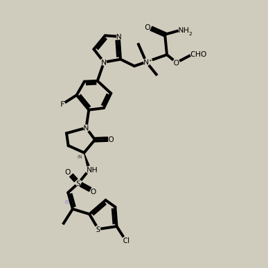 C/C(=C/S(=O)(=O)N[C@H]1CCN(c2ccc(-n3ccnc3C[N+](C)(C)C(OC=O)C(N)=O)cc2F)C1=O)c1ccc(Cl)s1